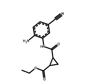 CCOC(=O)C1CC1C(=O)Nc1cc(C#N)ccc1N